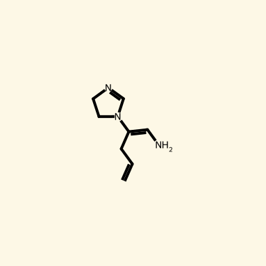 C=CCC(=CN)N1C=NCC1